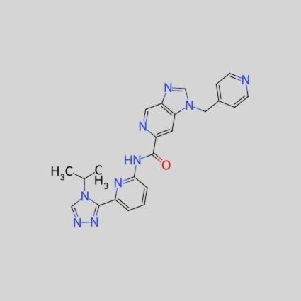 CC(C)n1cnnc1-c1cccc(NC(=O)c2cc3c(cn2)ncn3Cc2ccncc2)n1